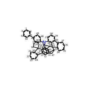 c1ccc(-c2ccc(N(c3cccc4c3C3(CCCC3)c3ccccc3-4)c3cccc4c3C3(c5ccccc5-4)C4CC5CC(C4)CC3C5)cc2)cc1